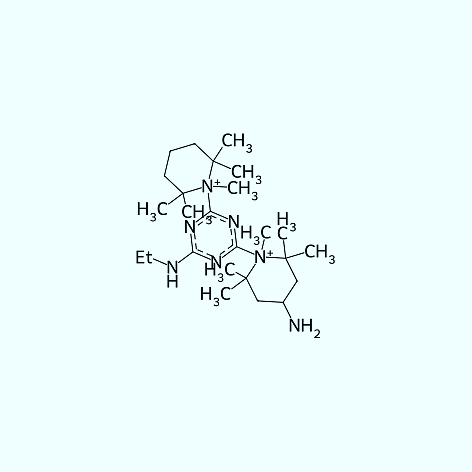 CCNc1nc([N+]2(C)C(C)(C)CCCC2(C)C)nc([N+]2(C)C(C)(C)CC(N)CC2(C)C)n1